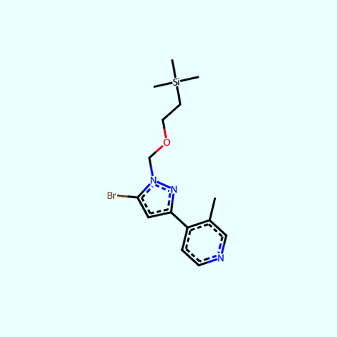 Cc1cnccc1-c1cc(Br)n(COCC[Si](C)(C)C)n1